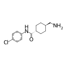 NC[C@H]1CC[C@H](C(=O)Nc2ccc(Cl)cc2)CC1